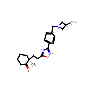 C[C@@]1(CCc2nc(-c3ccc(CN4CC(C(=O)O)C4)cc3)no2)CCCCC1=O